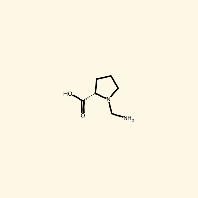 NCN1CCC[C@H]1C(=O)O